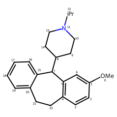 COc1ccc2c(c1)C(C1CCN(C(C)C)CC1)c1ccccc1CC2